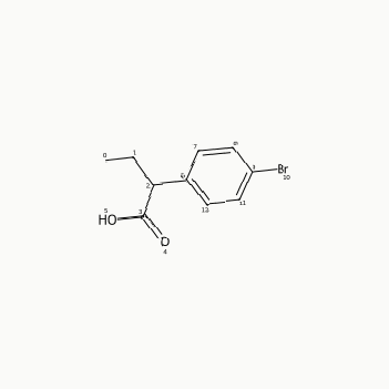 CCC(C(=O)O)c1ccc(Br)cc1